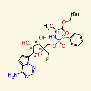 C[C@H](NP(=O)(OC[C@@]1(CF)O[C@@H](c2ccc3c(N)ncnn23)[C@H](O)[C@@H]1O)Oc1ccccc1)C(=O)OCC(C)(C)C